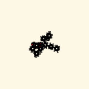 c1ccc(-c2ccc(-c3cc(-c4cccc5c4oc4ccccc45)nc(-c4ccc5c(c4)C4(c6ccccc6-c6ccccc6-5)c5ccccc5-c5ccccc54)n3)cc2)cc1